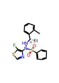 CC[C@H](NN(c1ncsc1F)S(=O)(=O)c1ccccc1)c1ccccc1C